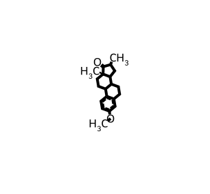 COc1ccc2c(c1)CCC1C2CC[C@]2(C)C(=O)C(C)CC12